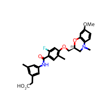 COc1ccc2c(c1)O[C@H](COc1cc(F)c(C(=O)Nc3cc(C)cc(CC(=O)O)c3)cc1C)CN2C